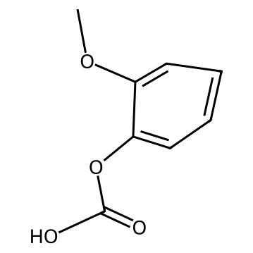 COc1ccccc1OC(=O)O